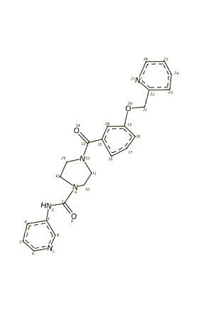 O=C(Nc1cccnc1)N1CCN(C(=O)c2cccc(OCc3ccccn3)c2)CC1